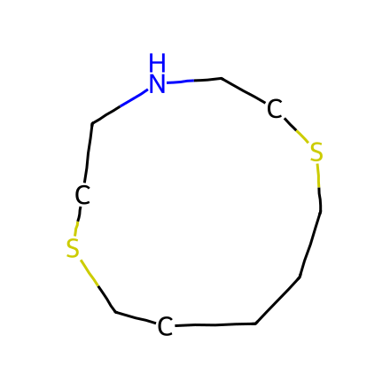 C1CCSCCNCCSCC1